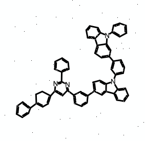 C1=C(c2ccccc2)CCC(c2cc(-c3cccc(-c4ccc5c(c4)c4ccccc4n5-c4cccc(-c5ccc6c7ccccc7n(-c7ccccc7)c6c5)c4)c3)nc(-c3ccccc3)n2)=C1